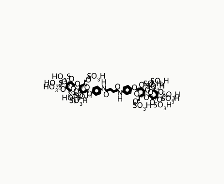 O=C(CCC(=O)Nc1ccc(O[C@@H]2O[C@H](COS(=O)(=O)O)[C@@H](O[C@H]3O[C@H](COS(=O)(=O)O)[C@@H](OS(=O)(=O)O)[C@H](OS(=O)(=O)O)[C@H]3OS(=O)(=O)O)[C@H](OS(=O)(=O)O)[C@H]2OS(=O)(=O)O)cc1)Nc1ccc(O[C@@H]2O[C@H](COS(=O)(=O)O)[C@@H](O[C@H]3O[C@H](COS(=O)(=O)O)[C@@H](OS(=O)(=O)O)[C@H](OS(=O)(=O)O)[C@H]3OS(=O)(=O)O)[C@H](OS(=O)(=O)O)[C@H]2OS(=O)(=O)O)cc1